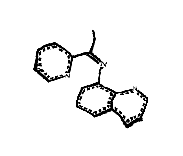 C/C(=N/c1cccc2cccnc12)c1ccccn1